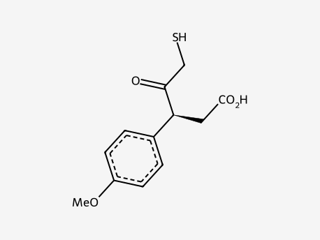 COc1ccc([C@H](CC(=O)O)C(=O)CS)cc1